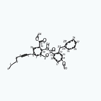 CCCCC#Cc1cc(C)c(NS(=O)(=O)c2ccc(OC)cc2Cc2ccccc2)c(C(=O)OC)c1